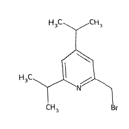 CC(C)c1cc(CBr)nc(C(C)C)c1